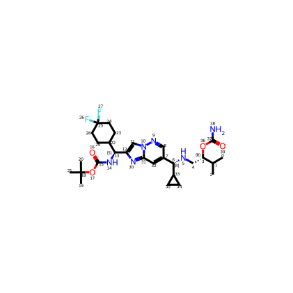 CC(C)[C@H](CN[C@@H](c1cnn2cc([C@@H](NC(=O)OC(C)(C)C)C3CCC(F)(F)CC3)nc2c1)C1CC1)OC(N)=O